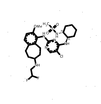 COc1ccc2c(c1Nc1ncc(Cl)c(N[C@@H]3CCCC[C@H]3NS(C)(=O)=O)n1)CCC(NCC(F)F)CC2